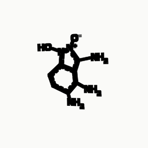 Nc1ccc2c(c1N)c(N)[n+]([O-])n2O